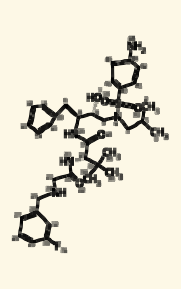 CC(C)CN(C[C@@H](O)[C@H](Cc1ccccc1)NC(=O)[C@@H](NC(=O)CNCc1cccc(F)c1)C(C)(C)C)S(=O)(=O)c1ccc(N)cc1